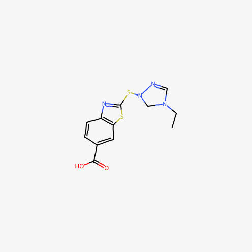 CCN1C=NN(Sc2nc3ccc(C(=O)O)cc3s2)C1